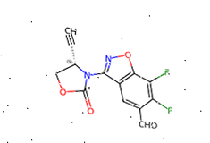 C#C[C@H]1COC(=O)N1c1noc2c(F)c(F)c(C=O)cc12